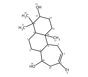 CCC1=CCC2C(CCC3C(C)(C)C(O)CCC23C)C(O)C1